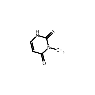 Cn1c(=O)cc[nH]c1=S